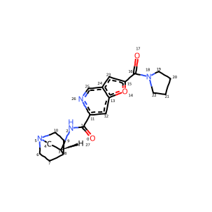 O=C(N[C@H]1CN2CCC1CC2)c1cc2oc(C(=O)N3CCCC3)cc2cn1